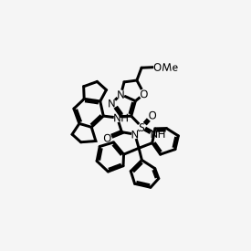 COCC1Cn2ncc(S(=N)(=O)N(C(=O)Nc3c4c(cc5c3CCC5)CCC4)C(c3ccccc3)(c3ccccc3)c3ccccc3)c2O1